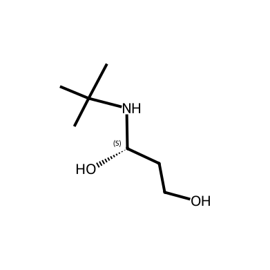 CC(C)(C)N[C@@H](O)CCO